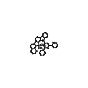 CC1(C)c2c(ccc3nccnc23)-c2ccc3c4ccccc4n(-c4cc(-c5ccccn5)nc(-c5ccccn5)c4)c3c21